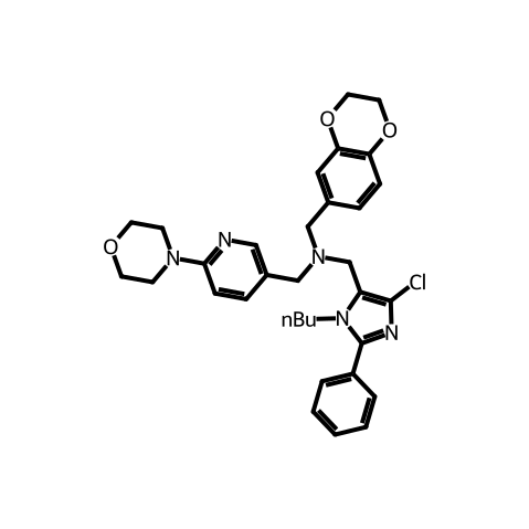 CCCCn1c(-c2ccccc2)nc(Cl)c1CN(Cc1ccc(N2CCOCC2)nc1)Cc1ccc2c(c1)OCCO2